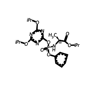 CC(C)OC(=O)[C@H](C)N[P@](=O)(Oc1ccccc1)Oc1nc(OC(C)C)nc(OC(C)C)n1